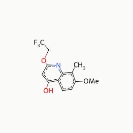 COc1ccc2c(O)cc(OCC(F)(F)F)nc2c1C